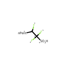 CCCCCC(F)C(F)(F)S(=O)(=O)O